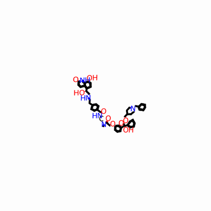 CN(CCNC(=O)c1ccc(CCNC[C@H](O)c2ccc(O)c3[nH]c(=O)ccc23)cc1)C(=O)COc1cccc(C(O)(C(=O)OCC2CCN(Cc3ccccc3)CC2)c2ccccc2)c1